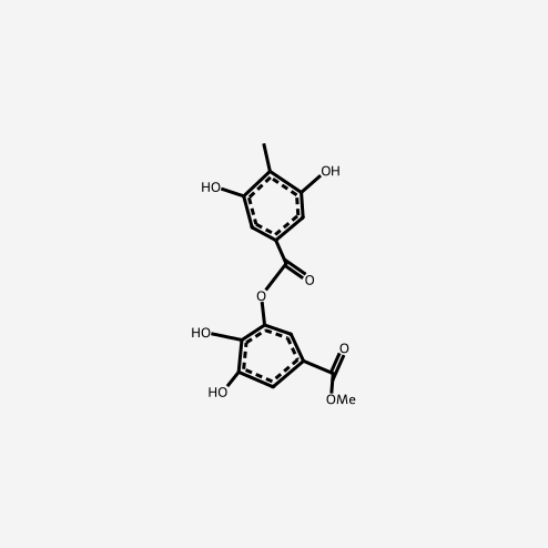 COC(=O)c1cc(O)c(O)c(OC(=O)c2cc(O)c(C)c(O)c2)c1